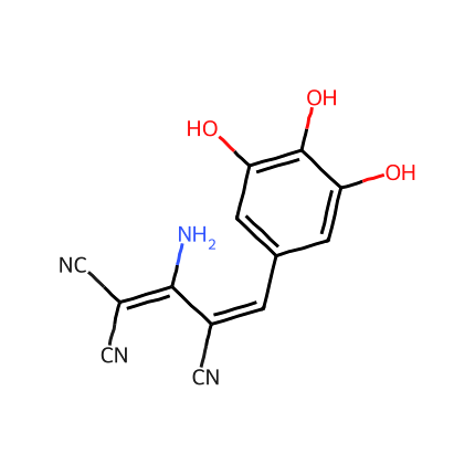 N#CC(=Cc1cc(O)c(O)c(O)c1)C(N)=C(C#N)C#N